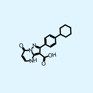 O=C(O)c1c(-c2ccc(C3CCCCC3)cc2)nn2c(=O)cc[nH]c12